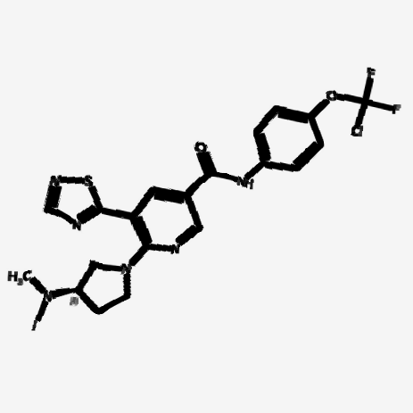 CN(I)[C@@H]1CCN(c2ncc(C(=O)Nc3ccc(OC(F)(F)Cl)cc3)cc2-c2ncns2)C1